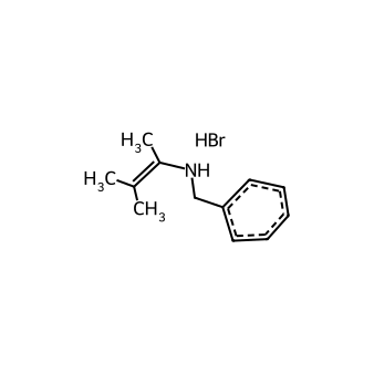 Br.CC(C)=C(C)NCc1ccccc1